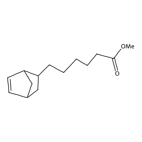 COC(=O)CCCCCC1CC2C=CC1C2